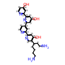 NCCCCC(CCN)c1cnc(-c2cc(-c3cc(O)cc(-c4cc(O)ccn4)n3)ccn2)cc1O